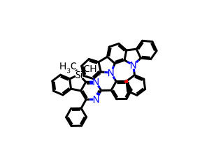 C[Si]1(C)c2ccccc2-c2c(-c3ccccc3)nc(-c3ccccc3-n3c4ccccc4c4ccc5c6ccccc6n(-c6ccccc6)c5c43)nc21